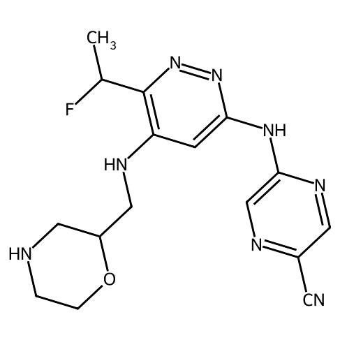 CC(F)c1nnc(Nc2cnc(C#N)cn2)cc1NCC1CNCCO1